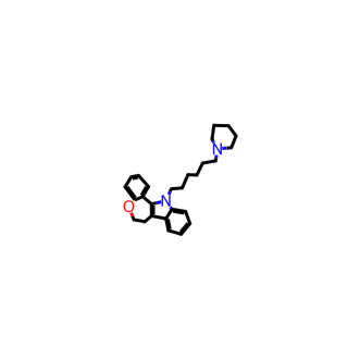 c1ccc2c(c1)OCCc1c-2n(CCCCCCN2CCCCC2)c2ccccc12